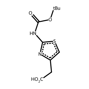 CC(C)(C)OC(=O)Nc1nc(CC(=O)O)cs1